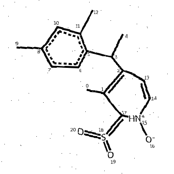 CC1=C(C(C)c2ccc(C)cc2C)C=C[NH+]([O-])C1=S(=O)=O